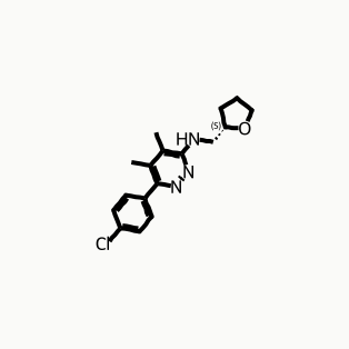 Cc1c(NC[C@@H]2CCCO2)nnc(-c2ccc(Cl)cc2)c1C